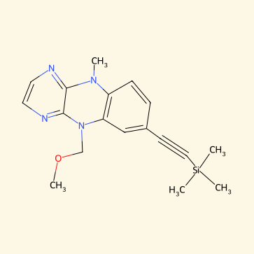 COCN1c2cc(C#C[Si](C)(C)C)ccc2N(C)c2nccnc21